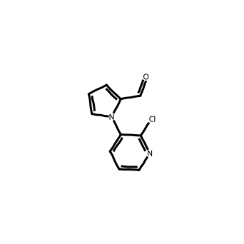 O=Cc1cccn1-c1cccnc1Cl